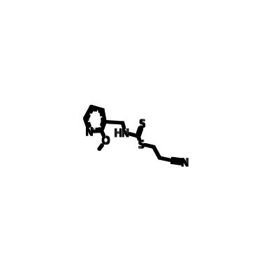 COc1ncccc1CNC(=S)SCCC#N